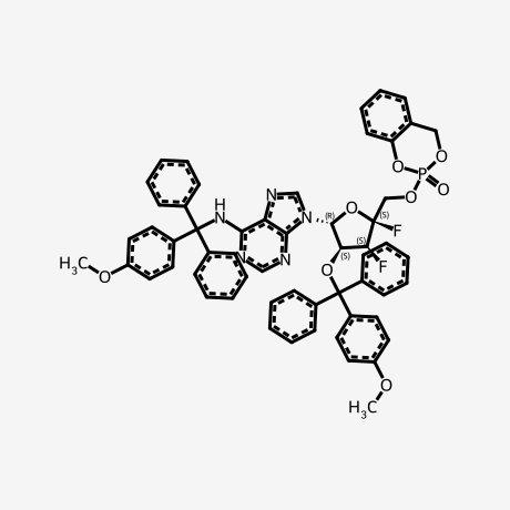 COc1ccc(C(Nc2ncnc3c2ncn3[C@@H]2O[C@](F)(COP3(=O)OCc4ccccc4O3)[C@@H](F)[C@H]2OC(c2ccccc2)(c2ccccc2)c2ccc(OC)cc2)(c2ccccc2)c2ccccc2)cc1